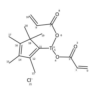 C=CC(=O)[O][Ti+]([O]C(=O)C=C)[C]1=C(C)C(C)=C(C)C1(C)C.[Cl-]